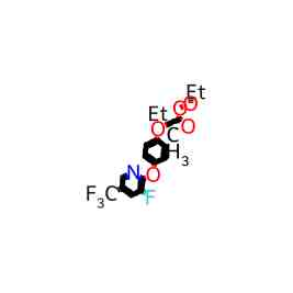 CCOOC(=O)C(C)(CC)Oc1ccc(Oc2ncc(C(F)(F)F)cc2F)cc1